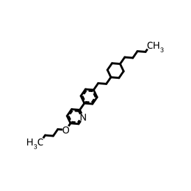 CCCCCC1CCC(CCc2ccc(-c3ccc(OCCCC)cn3)cc2)CC1